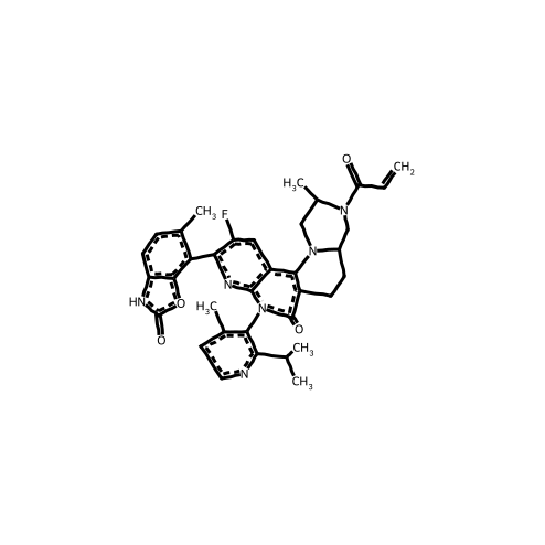 C=CC(=O)N1CC2CCc3c(c4cc(F)c(-c5c(C)ccc6[nH]c(=O)oc56)nc4n(-c4c(C)ccnc4C(C)C)c3=O)N2CC1C